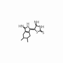 CC1CC2=C(CC1C)/C(=C1\SC(=S)NC1=N)NC2=N